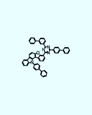 c1ccc(-c2ccc(-c3nc(-c4cccc(-c5ccccc5)c4)nc(-c4cccc5c4oc4ccc6c7ccccc7n(-c7ccc(-c8ccccc8)cc7)c6c45)n3)cc2)cc1